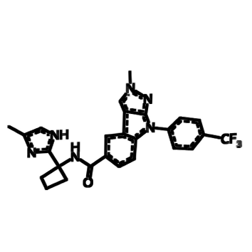 Cc1c[nH]c(C2(NC(=O)c3ccc4c(c3)c3cn(C)nc3n4-c3ccc(C(F)(F)F)cc3)CCC2)n1